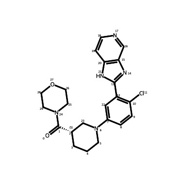 O=C([C@H]1CCCN(c2ccc(Cl)c(-c3nc4cnccc4[nH]3)c2)C1)N1CCOCC1